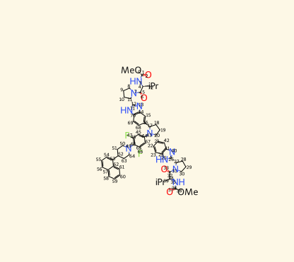 COC(=O)N[C@H](C(=O)N1CCC[C@H]1c1nc2cc([C@H]3CC[C@H](c4ccc5[nH]c([C@@H]6CCCN6C(=O)[C@@H](NC(=O)OC)C(C)C)nc5c4)N3c3cc(F)c(N4CCC(c5cccc6ccccc56)CC4)c(F)c3)ccc2[nH]1)C(C)C